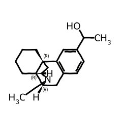 CC(O)c1ccc2c(c1)[C@@]13CCCC[C@H]1[C@@H](C2)N(C)CC3